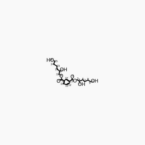 O=C(OCC(O)CCCCO)c1cccc(C(=O)OCC(O)CCCCO)c1